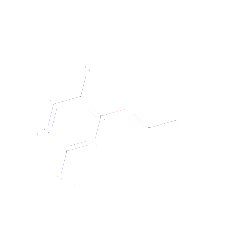 CCCOc1nc(N)n[c]c1N